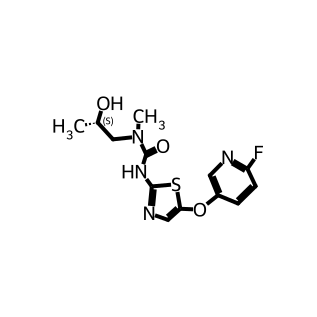 C[C@H](O)CN(C)C(=O)Nc1ncc(Oc2ccc(F)nc2)s1